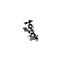 CC[SH](C)(=O)c1cc(C2(C#N)CC2)cnc1-c1nc2cc(C(F)(F)F)n(OC)c(=O)c2n1C